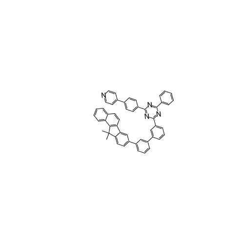 CC1(C)c2ccc(-c3cccc(-c4cccc(-c5nc(-c6ccccc6)nc(-c6ccc(-c7ccncc7)cc6)n5)c4)c3)cc2-c2ccc3ccccc3c21